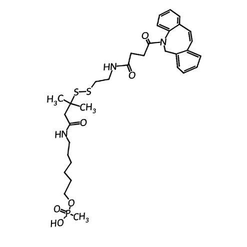 CC(C)(CC(=O)NCCCCCCOP(C)(=O)O)SSCCNC(=O)CCC(=O)N1Cc2ccccc2/C=C\c2ccccc21